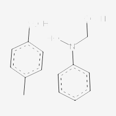 Cc1ccc(S(=O)(=O)O)cc1.O=C(O)CN(O)c1ccccc1